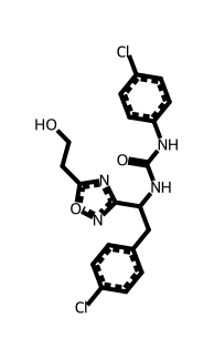 O=C(Nc1ccc(Cl)cc1)NC(Cc1ccc(Cl)cc1)c1noc(CCO)n1